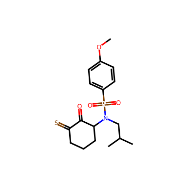 COc1ccc(S(=O)(=O)N(CC(C)C)C2CCCC(=S)C2=O)cc1